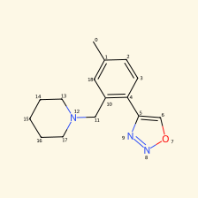 Cc1ccc(-c2conn2)c(CN2CCCCC2)c1